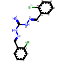 N=C(NN=Cc1ccccc1Br)NN=Cc1ccccc1Br